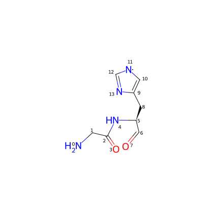 NCC(=O)N[C@H](C=O)CC1=C[N]C=N1